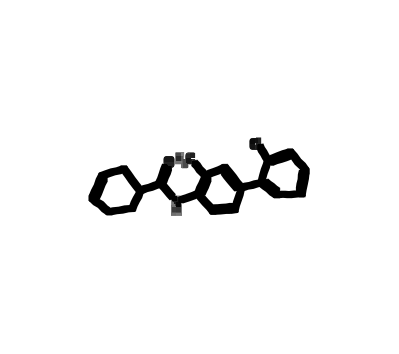 O=C(Nc1ccc(-c2ccccc2Cl)cc1C(F)(F)F)C1CC=CCC1